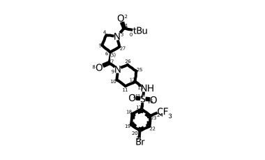 CC(C)(C)C(=O)N1CC[C@H](C(=O)N2CCC(NS(=O)(=O)c3ccc(Br)cc3C(F)(F)F)CC2)C1